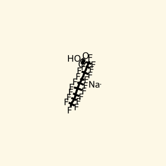 O=S(=O)(O)C(F)(F)C(F)(F)C(F)(F)C(F)(F)C(F)(F)C(F)(F)C(F)(F)C(F)(F)C(F)(F)F.[Na]